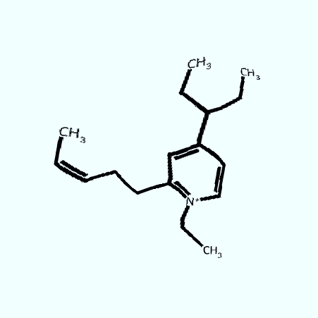 C/C=C\CCc1cc(C(CC)CC)cc[n+]1CC